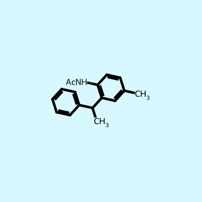 CC(=O)Nc1ccc(C)cc1C(C)c1ccccc1